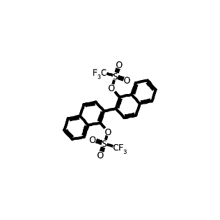 O=S(=O)(Oc1c(-c2ccc3ccccc3c2OS(=O)(=O)C(F)(F)F)ccc2ccccc12)C(F)(F)F